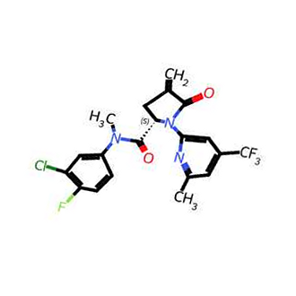 C=C1C[C@@H](C(=O)N(C)c2ccc(F)c(Cl)c2)N(c2cc(C(F)(F)F)cc(C)n2)C1=O